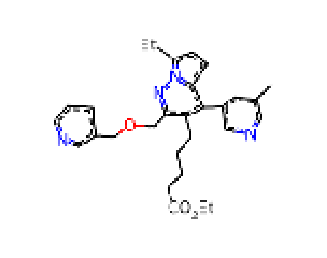 CCOC(=O)CCCCc1c(COCc2cccnc2)nn2c(CC)ccc2c1-c1cncc(C)c1